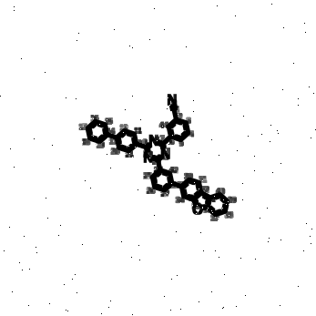 N#Cc1cccc(-c2nc(-c3ccc(-c4ccccc4)cc3)nc(-c3cccc(-c4ccc5c(c4)oc4ccccc45)c3)n2)c1